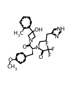 COc1ccc(C[C@@H](C(=O)N2CC(O)(c3ccccc3C)C2)N(CCCc2c[nH]cn2)C(=O)C(F)(F)F)cc1